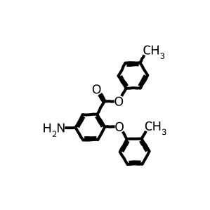 Cc1ccc(OC(=O)c2cc(N)ccc2Oc2ccccc2C)cc1